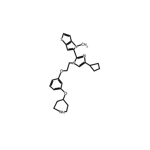 Cn1c(-c2nc(C3CCC3)cn2CCOc2cccc(OC3CCNCC3)c2)cc2sccc21